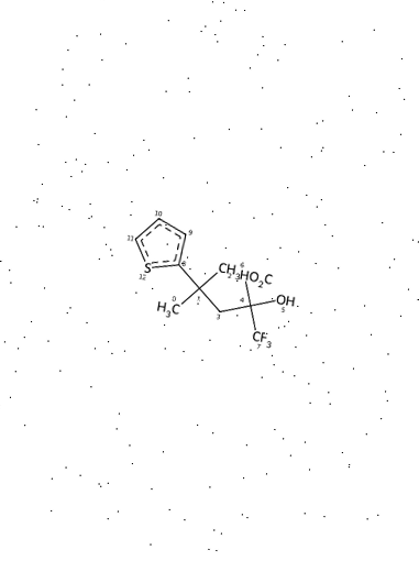 CC(C)(CC(O)(C(=O)O)C(F)(F)F)c1cccs1